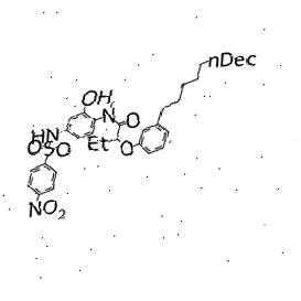 CCCCCCCCCCCCCCCc1cccc(OC(CC)C(=O)N(C)c2ccc(NS(=O)(=O)c3ccc([N+](=O)[O-])cc3)cc2O)c1